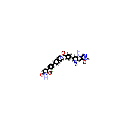 Cc1c(N[C@@H]2C[C@H](c3ccc(C(=O)N4CCC5(CCC(c6ccc(C7CCC(=O)NC7=O)c(F)c6)CC5)CC4)cc3)CN(C)C2)cnn(C)c1=O